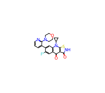 O=c1[nH]sc2c1c(=O)c1cc(F)c(-c3cccnc3N3CCOCC3)cc1n2C1CC1